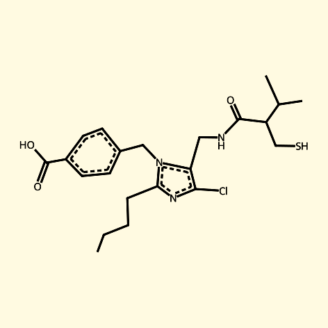 CCCCc1nc(Cl)c(CNC(=O)C(CS)C(C)C)n1Cc1ccc(C(=O)O)cc1